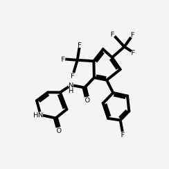 O=C(Nc1cc[nH]c(=O)c1)c1c(-c2ccc(F)cc2)cc(C(F)(F)F)cc1C(F)(F)F